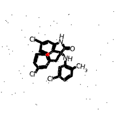 Cc1ccc(Cl)cc1NC1(Cc2cccc(Cl)c2)C(=O)Nc2cc(Cl)ccc21